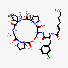 CCCC/C=C/C(=O)N[C@@H](Cc1cccc(F)c1)C(=O)N[C@H]1COC(=O)[C@@H]2CCCN2C(=O)[C@H](C)NC(=O)C(CC)(CC)N(C)C(=O)[C@@H]2CCCN2C1=O